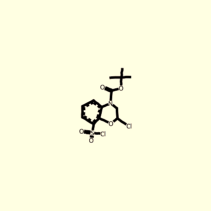 CC(C)(C)OC(=O)N1CC(Cl)Oc2c1cccc2S(=O)(=O)Cl